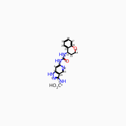 O=C(O)Nc1n[nH]c2cc(NC(=O)N[C@@H]3CCOc4ccccc43)ncc12